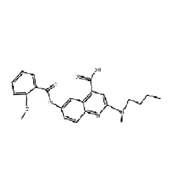 CCCCN(C)c1cc(C(=O)O)c2cc(NC(=O)c3ccccc3OC)ccc2n1